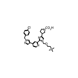 C[Si](C)(C)CCOCn1cc(C2CCN(C(=O)O)C2)nc1-c1cc(-c2cnn(Cc3ccc(Cl)cc3)c2)ccn1